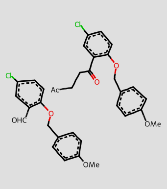 COc1ccc(COc2ccc(Cl)cc2C(=O)CCC(C)=O)cc1.COc1ccc(COc2ccc(Cl)cc2C=O)cc1